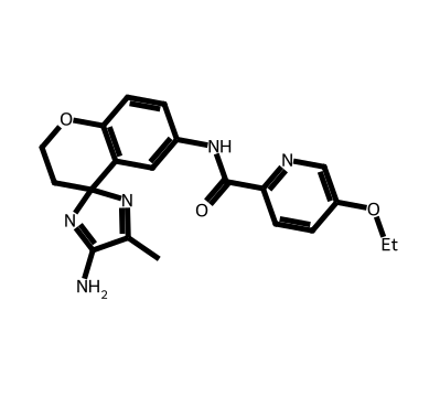 CCOc1ccc(C(=O)Nc2ccc3c(c2)C2(CCO3)N=C(C)C(N)=N2)nc1